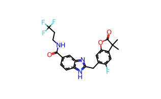 CC1(C)C(=O)Oc2cc(Cc3nc4cc(C(=O)NCCC(F)(F)F)ccc4[nH]3)c(F)cc21